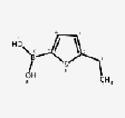 CCc1ccc(B(O)O)s1